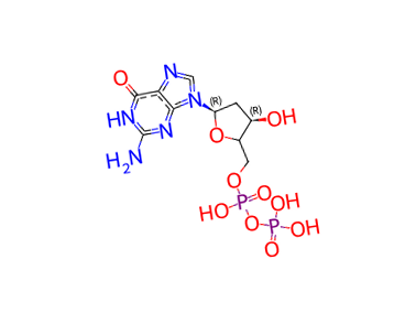 Nc1nc2c(ncn2[C@H]2C[C@@H](O)C(COP(=O)(O)OP(=O)(O)O)O2)c(=O)[nH]1